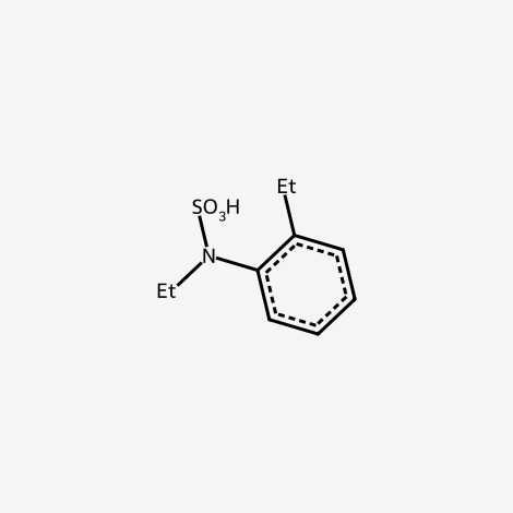 CCc1ccccc1N(CC)S(=O)(=O)O